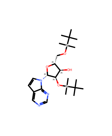 CC(C)(C)[Si](C)(C)OC[C@H]1O[C@@H](n2ccc3cncnc32)[C@H](O[Si](C)(C)C(C)(C)C)[C@@H]1O